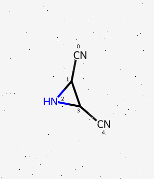 N#CC1NC1C#N